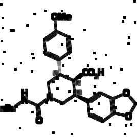 CCCCNC(=O)N1C[C@H](c2ccc(OC)cc2)[C@@H](C(=O)O)[C@@H](c2ccc3c(c2)OCO3)C1